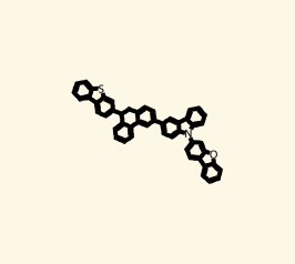 c1ccc2c(c1)-c1cc(-c3ccc4c(c3)c3ccccc3n4-c3ccc4c(c3)oc3ccccc34)ccc1CC2c1ccc2c(c1)sc1ccccc12